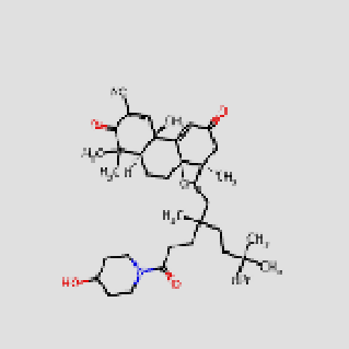 CCCC(C)(C)CC[C@](C)(CCC(=O)N1CCC(O)CC1)CC[C@]1(C)CC(=O)C=C2[C@@]3(C)C=C(C#N)C(=O)C(C)(C)[C@@H]3CC[C@]21C